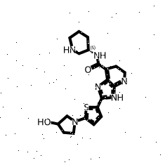 O=C(N[C@H]1CCCNC1)C1=c2nc(-c3ccc(N4CCC(O)C4)s3)[nH]c2=NCC1